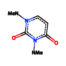 CNn1ccc(=O)n(NC)c1=O